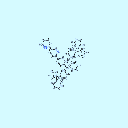 c1ccc(-c2ccc(-c3ccc4c(-c5ccc6c(c5)C5(CCCC5)c5ccccc5-6)c5ccccc5c(-c5ccc6c(c5)C5(CCCC5)c5ccccc5-6)c4c3)nc2)nc1